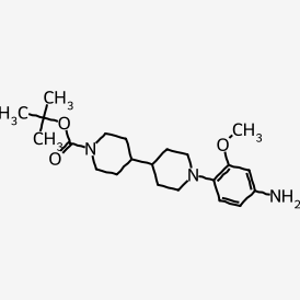 COc1cc(N)ccc1N1CCC(C2CCN(C(=O)OC(C)(C)C)CC2)CC1